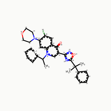 CC(c1ccccc1)n1cc(-c2noc(C(C)(C)c3ccccc3)n2)c(=O)c2cc(F)c(N3CCOCC3)cc21